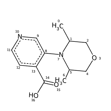 CC1COCC(C)N1c1cnccc1C(=O)O